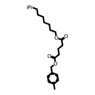 Cc1ccc(COC(=O)CCCC(=O)OCCCCCCCC(C)C)cc1